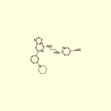 N#Cc1ccc(NCCNc2nc(-c3cccc(N4CCCCC4)c3)cc3nccn23)nc1